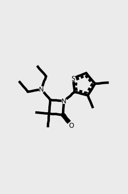 CCN(CC)C1N(c2scc(C)c2C)C(=O)C1(C)C